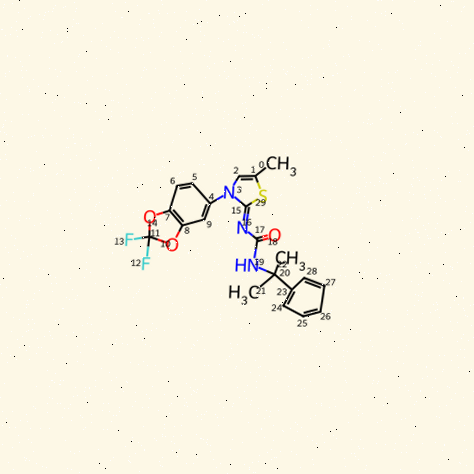 Cc1cn(-c2ccc3c(c2)OC(F)(F)O3)c(=NC(=O)NC(C)(C)c2ccccc2)s1